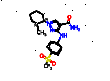 C[C@H]1CCCC[C@@H]1n1cc(C(N)=O)c(Nc2ccc(S(=O)(=O)C(F)(F)F)cc2)n1